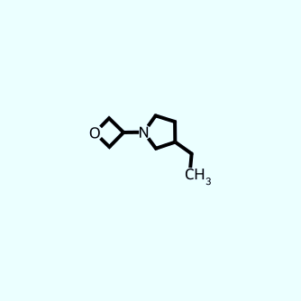 CCC1CCN(C2COC2)C1